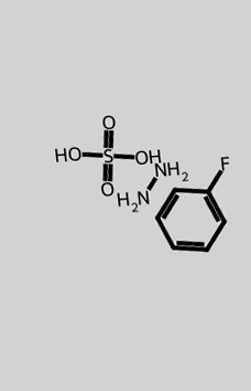 Fc1ccccc1.NN.O=S(=O)(O)O